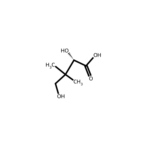 CC(C)(CO)[C@H](O)C(=O)O